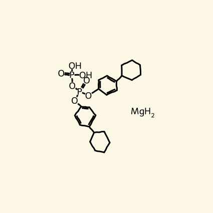 O=P(O)(O)OP(=O)(Oc1ccc(C2CCCCC2)cc1)Oc1ccc(C2CCCCC2)cc1.[MgH2]